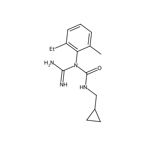 CCc1cccc(C)c1N(C(=N)N)C(=O)NCC1CC1